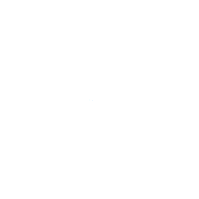 C=CCC(NC(=O)c1ccc(OC)cc1)(c1ccccc1)c1ccccc1